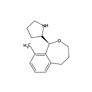 Cc1cccc2c1[C@@H](C1CCCN1)OCCC2